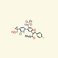 CCS(=O)(=O)Nc1cc2oc(-c3ccc(F)cc3)c(C(=O)NC)c2cc1-c1ccc(C2(CO)CC2)c(Cl)n1